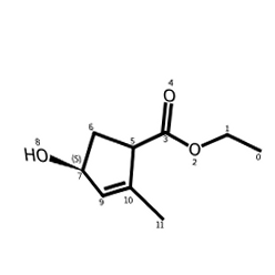 CCOC(=O)C1C[C@H](O)C=C1C